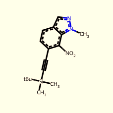 Cn1ncc2ccc(C#C[Si](C)(C)C(C)(C)C)c([N+](=O)[O-])c21